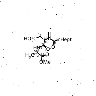 CCCCCCCC(=O)N[C@H](CC(=O)O)C(=O)N[C@@H](C)C(=O)OC